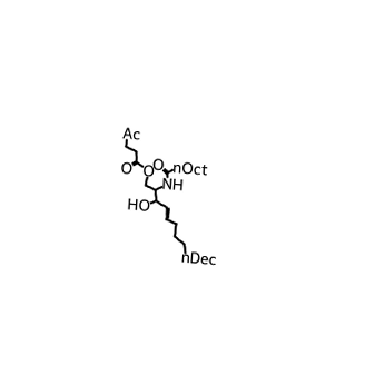 CCCCCCCCCCCCC/C=C/C(O)C(COC(=O)CCC(C)=O)NC(=O)CCCCCCCC